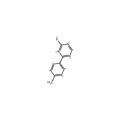 Cc1ccc(-c2n[c]nc(F)n2)cc1